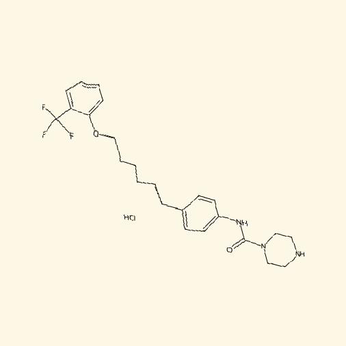 Cl.O=C(Nc1ccc(CCCCCCOc2ccccc2C(F)(F)F)cc1)N1CCNCC1